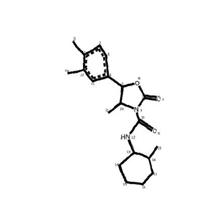 Cc1ccc(C2OC(=O)N(C(=O)NC3CCCCC3C)C2C)cc1C